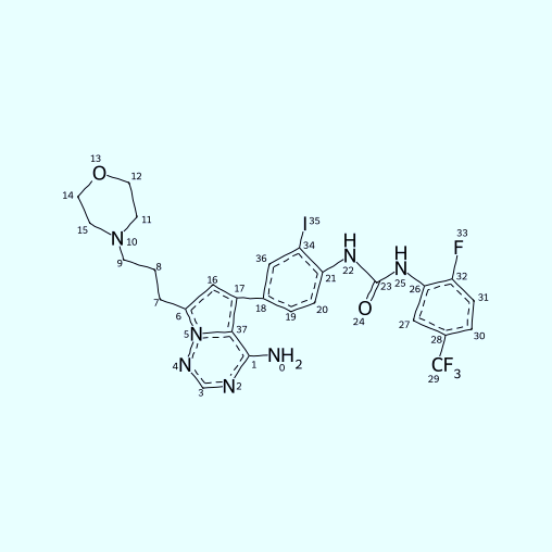 Nc1ncnn2c(CCCN3CCOCC3)cc(-c3ccc(NC(=O)Nc4cc(C(F)(F)F)ccc4F)c(I)c3)c12